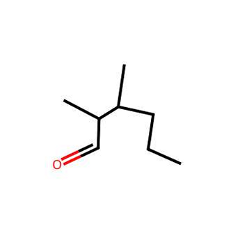 CCCC(C)C(C)C=O